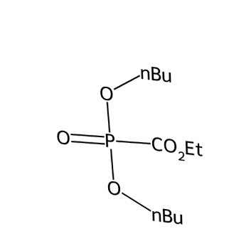 CCCCOP(=O)(OCCCC)C(=O)OCC